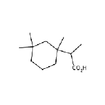 CC(C(=O)O)C1(C)CCCC(C)(C)C1